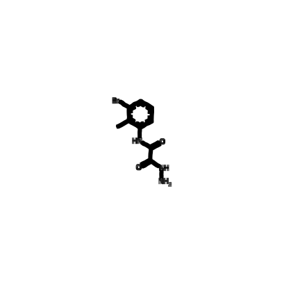 Cc1c(Br)cccc1NC(=O)C(=O)NN